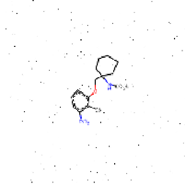 N#Cc1c(N)cccc1OCC1(NC(=O)O)CCCCC1